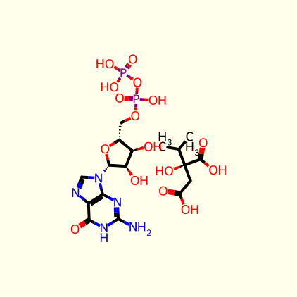 CC(C)[C@@](O)(CC(=O)O)C(=O)O.Nc1nc2c(ncn2[C@@H]2O[C@H](COP(=O)(O)OP(=O)(O)O)[C@@H](O)[C@H]2O)c(=O)[nH]1